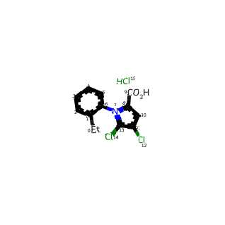 CCc1ccccc1-n1c(C(=O)O)cc(Cl)c1Cl.Cl